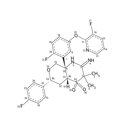 CC1(C)C(=N)N[C@@]2(c3cc(Oc4ncccc4F)ccc3F)CO[C@@H](c3ccc(F)cc3)C[C@H]2S1(=O)=O